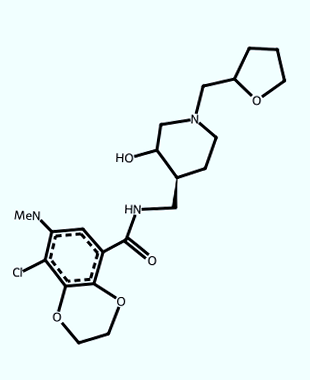 CNc1cc(C(=O)NC[C@@H]2CCN(CC3CCCO3)CC2O)c2c(c1Cl)OCCO2